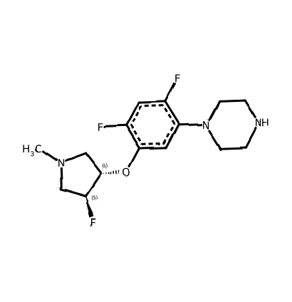 CN1C[C@H](Oc2cc(N3CCNCC3)c(F)cc2F)[C@@H](F)C1